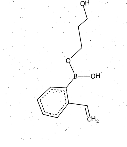 C=Cc1ccccc1B(O)OCCCO